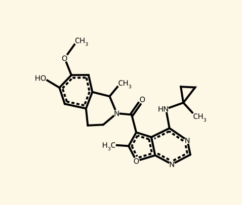 COc1cc2c(cc1O)CCN(C(=O)c1c(C)oc3ncnc(NC4(C)CC4)c13)C2C